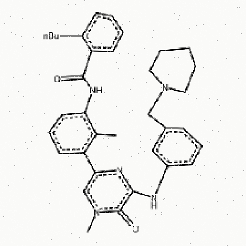 CCCCc1ccccc1C(=O)Nc1cccc(-c2cn(C)c(=O)c(Nc3cccc(CN4CCCCC4)c3)n2)c1C